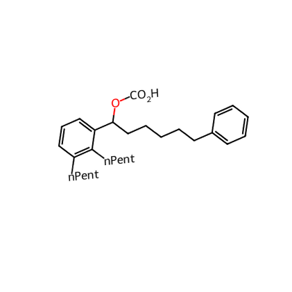 CCCCCc1cccc(C(CCCCCc2ccccc2)OC(=O)O)c1CCCCC